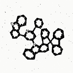 c1ccc(-c2cc(-n3c4ccccc4c4ccc5c(c43)-c3ccccc3C53c4ccccc4-c4ccccc43)cc(-c3cccc4oc5ccccc5c34)n2)cc1